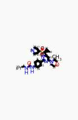 CC(C)CNC(=O)Nc1ccc(-c2nc(N3CCOC[C@@H]3C)cc(C3(S(=O)(=O)c4ccncc4)CC3)n2)cc1